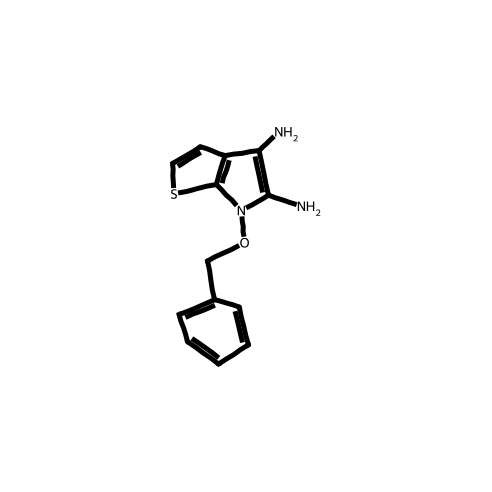 Nc1c(N)n(OCc2ccccc2)c2sccc12